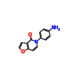 Nc1ccc(-n2ccc3occc3c2=O)cc1